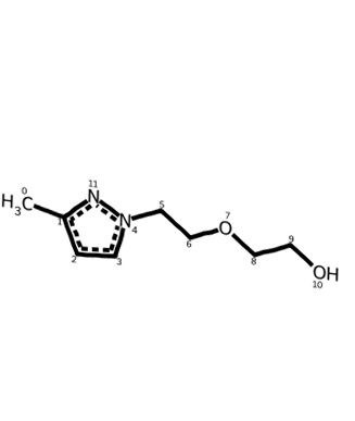 Cc1ccn(CCOCCO)n1